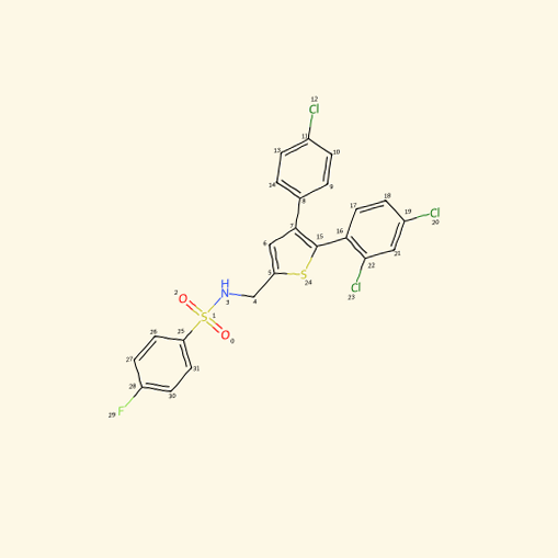 O=S(=O)(NCc1cc(-c2ccc(Cl)cc2)c(-c2ccc(Cl)cc2Cl)s1)c1ccc(F)cc1